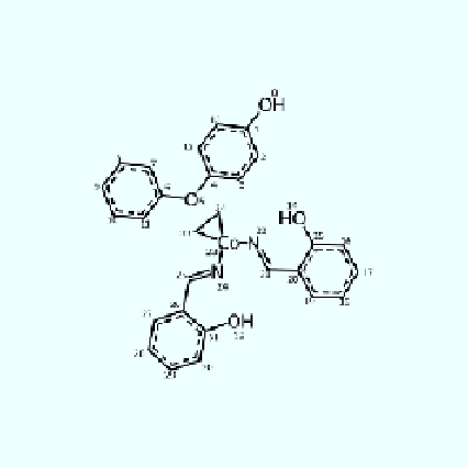 Oc1ccc(Oc2ccccc2)cc1.Oc1ccccc1C=[N][Co]1([N]=Cc2ccccc2O)[CH2][CH2]1